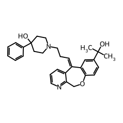 CC(C)(O)c1ccc2c(c1)/C(=C/CCN1CCC(O)(c3ccccc3)CC1)c1cccnc1CO2